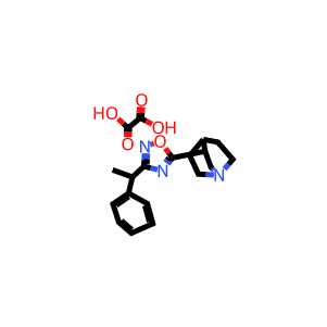 CC(c1ccccc1)c1noc(C2CN3CCC2CC3)n1.O=C(O)C(=O)O